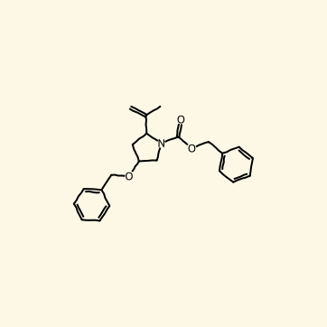 C=C(C)C1CC(OCc2ccccc2)CN1C(=O)OCc1ccccc1